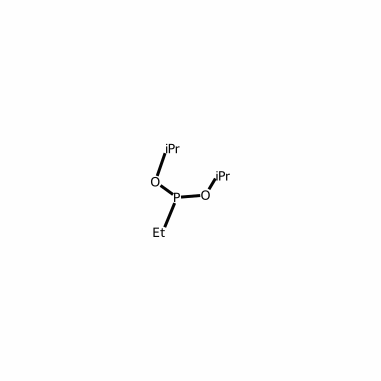 [CH2]CP(OC(C)C)OC(C)C